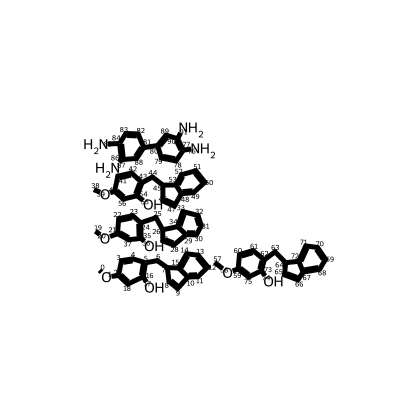 COc1ccc(CC2C=Cc3ccccc32)c(O)c1.COc1ccc(CC2C=Cc3ccccc32)c(O)c1.COc1ccc(CC2C=Cc3ccccc32)c(O)c1.COc1ccc(CC2C=Cc3ccccc32)c(O)c1.Nc1ccc(-c2ccc(N)c(N)c2)cc1N